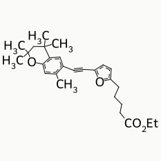 CCOC(=O)CCCCc1ccc(C#Cc2cc3c(cc2C)OC(C)(C)CC3(C)C)o1